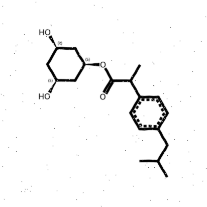 CC(C)Cc1ccc(C(C)C(=O)O[C@@H]2C[C@H](O)C[C@H](O)C2)cc1